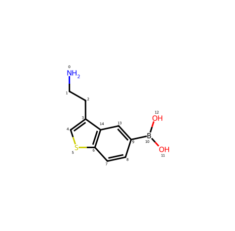 NCCc1csc2ccc(B(O)O)cc12